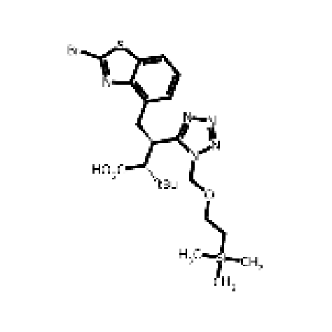 CC(C)(C)[C@H](C(=O)O)[C@@H](Cc1cccc2sc(Br)nc12)c1nnnn1COCC[Si](C)(C)C